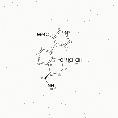 COc1cnccc1-c1cccc2c1OCC[C@H]2CN.Cl.Cl